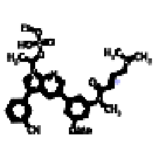 CCOP(=O)(O)OC(C)n1cc(-c2cccc(C#N)c2)c2cc(-c3cc(OC)cc(N(C)C(=O)/C=C/CN(C)C)c3)cnc21